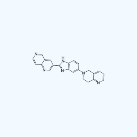 c1cnc2c(c1)CN(c1ccc3[nH]c(-c4cnc5ccncc5c4)nc3c1)CC2